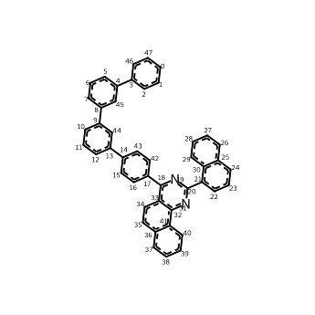 c1ccc(-c2cccc(-c3cccc(-c4ccc(-c5nc(-c6cccc7ccccc67)nc6c5ccc5ccccc56)cc4)c3)c2)cc1